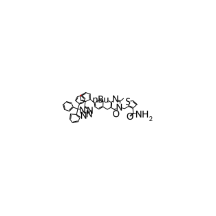 CCCCc1nc(C)n(Cc2sccc2C(N)=O)c(=O)c1Cc1ccc(-c2ccccc2-c2nnnn2C(c2ccccc2)(c2ccccc2)c2ccccc2)cc1